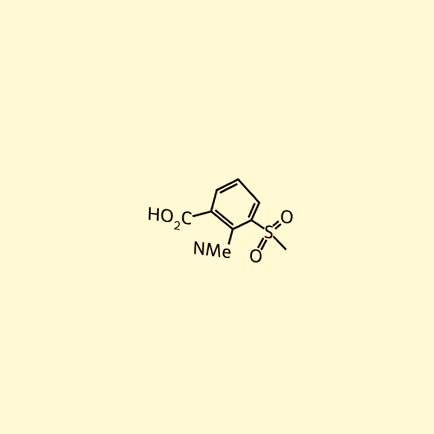 CNc1c(C(=O)O)cccc1S(C)(=O)=O